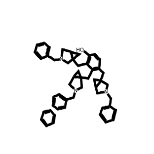 Oc1ccc(CC23CC2CN(Cc2ccccc2)C3)c(CC23CC2CN(Cc2ccccc2)C3)c1CC12CC1CN(Cc1ccccc1)C2.[c]1ccccc1